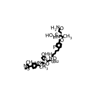 Cc1ncsc1-c1ccc([C@H](C)NC(=O)[C@@H]2C[C@@H](O)CN2C(=O)C(NC(=O)CCCCc2ccc(CO[C@H](C)[C@H](CCC(N)=O)NC(=O)O)cc2F)C(C)(C)C)cc1